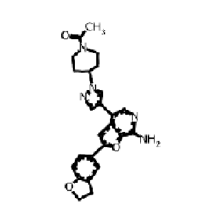 CC(=O)N1CCC(n2cc(-c3cnc(N)c4oc(-c5ccc6c(c5)CCO6)cc34)cn2)CC1